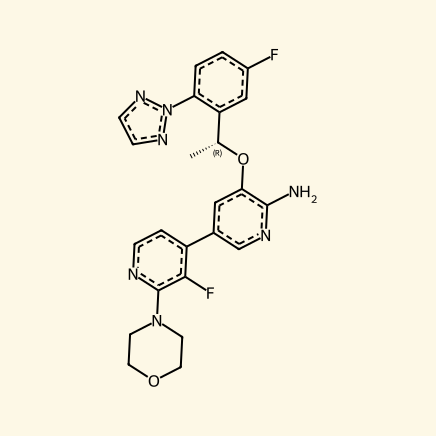 C[C@@H](Oc1cc(-c2ccnc(N3CCOCC3)c2F)cnc1N)c1cc(F)ccc1-n1nccn1